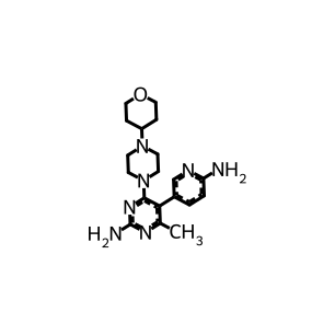 Cc1nc(N)nc(N2CCN(C3CCOCC3)CC2)c1-c1ccc(N)nc1